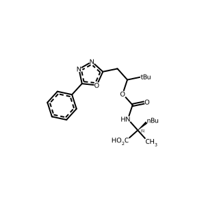 CCCC[C@](C)(NC(=O)OC(Cc1nnc(-c2ccccc2)o1)C(C)(C)C)C(=O)O